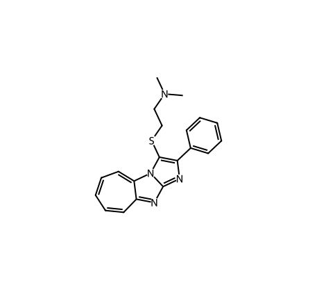 CN(C)CCSc1c(-c2ccccc2)nc2nc3cccccc3n12